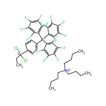 CCCC[NH+](CCCC)CCCC.CC[Si](Cl)(Cl)c1ccc([B-](c2c(F)c(F)c(F)c(F)c2F)(c2c(F)c(F)c(F)c(F)c2F)c2c(F)c(F)c(F)c(F)c2F)cc1